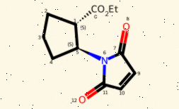 CCOC(=O)[C@H]1CCC[C@@H]1N1C(=O)C=CC1=O